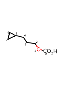 O=C(O)OCCCC1CC1